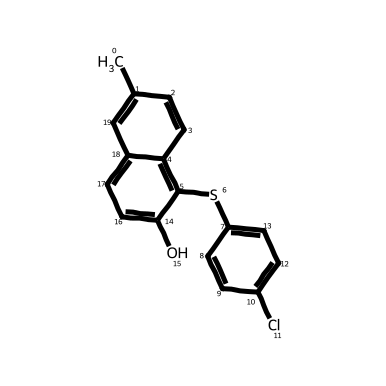 Cc1ccc2c(Sc3ccc(Cl)cc3)c(O)ccc2c1